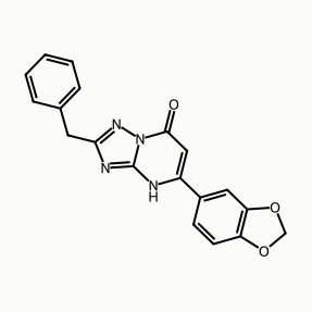 O=c1cc(-c2ccc3c(c2)OCO3)[nH]c2nc(Cc3ccccc3)nn12